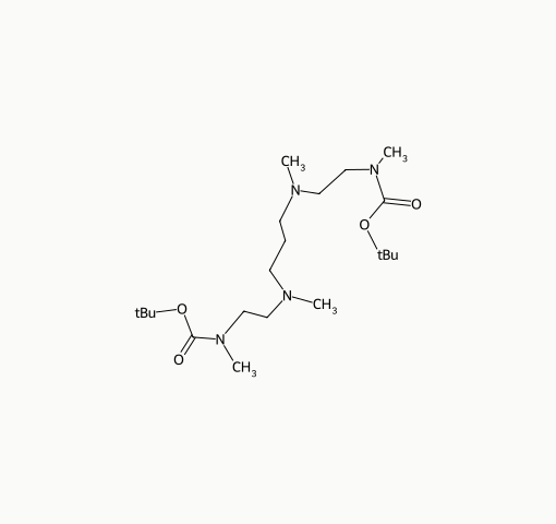 CN(CCCN(C)CCN(C)C(=O)OC(C)(C)C)CCN(C)C(=O)OC(C)(C)C